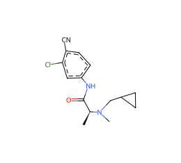 C[C@@H](C(=O)Nc1ccc(C#N)c(Cl)c1)N(C)CC1CC1